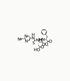 COC(=O)[C@H](Cc1ccccc1)NC(=O)[C@H](CC(=O)O)NC(=S)Nc1cnc(C#N)nc1